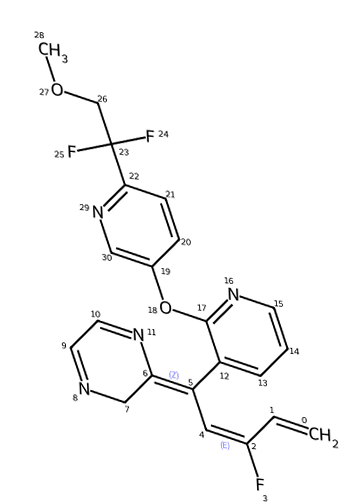 C=C/C(F)=C\C(=C1/CN=CC=N1)c1cccnc1Oc1ccc(C(F)(F)COC)nc1